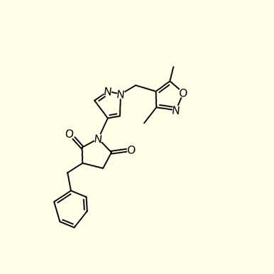 Cc1noc(C)c1Cn1cc(N2C(=O)CC(Cc3ccccc3)C2=O)cn1